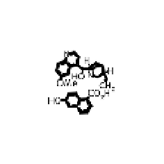 C=C[C@@H]1CN2CCC1C[C@@H]2[C@H](O)c1ccnc2ccc(OC)cc12.O=C(O)c1cccc2cc(O)ccc12